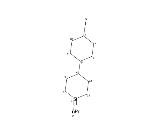 CCC[SiH]1CCC(C2CCC(I)CC2)CC1